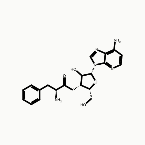 Nc1ccnc2c1ncn2[C@@H]1O[C@H](CO)[C@H](CC(=O)[C@@H](N)Cc2ccccc2)C1O